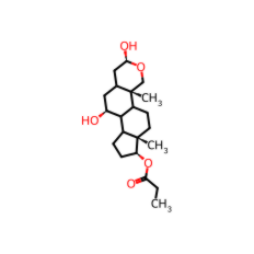 CCC(=O)O[C@H]1CCC2C3C(CC[C@@]21C)[C@@]1(C)CO[C@H](O)CC1C[C@@H]3O